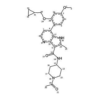 COc1ccc(-c2ccnc3c(C(=O)NC4CCN(C(C)=O)CC4)c(C)[nH]c23)c(OCC2CC2)c1